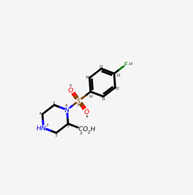 O=C(O)C1CNCCN1S(=O)(=O)c1ccc(F)cc1